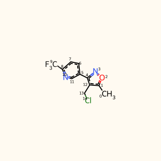 Cc1onc(-c2ccc(C(F)(F)F)nc2)c1CCl